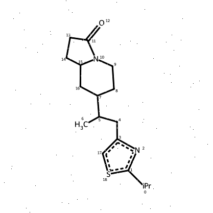 CC(C)c1nc(CC(C)C2CCN3C(=O)CCC3C2)cs1